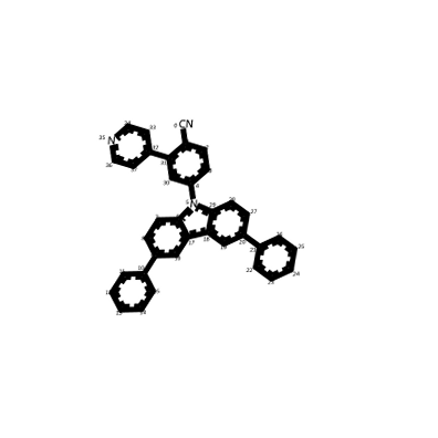 N#Cc1ccc(-n2c3ccc(-c4ccccc4)cc3c3cc(-c4ccccc4)ccc32)cc1-c1ccncc1